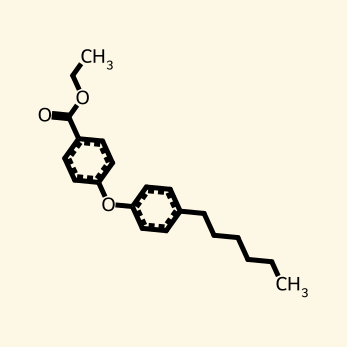 CCCCCCc1ccc(Oc2ccc(C(=O)OCC)cc2)cc1